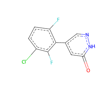 O=c1cc(-c2c(F)ccc(Cl)c2F)cn[nH]1